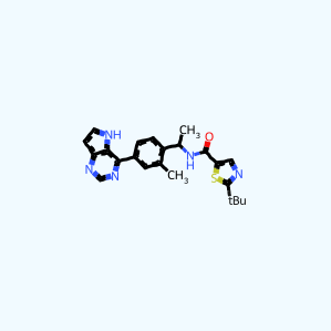 Cc1cc(-c2ncnc3cc[nH]c23)ccc1C(C)NC(=O)c1cnc(C(C)(C)C)s1